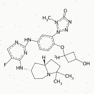 [2H]C1(Oc2ccc(Nc3ncc(F)c(N[C@H]4CCN5[C@@H](CCC5(C)C)C4)n3)cc2-n2nnc(=O)n2C)CC(O)C1